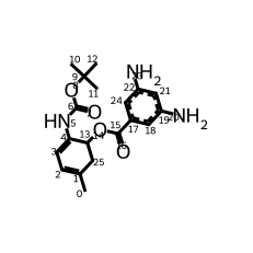 CC1=CC=C(NC(=O)OC(C)(C)C)C(OC(=O)c2cc(N)cc(N)c2)C1